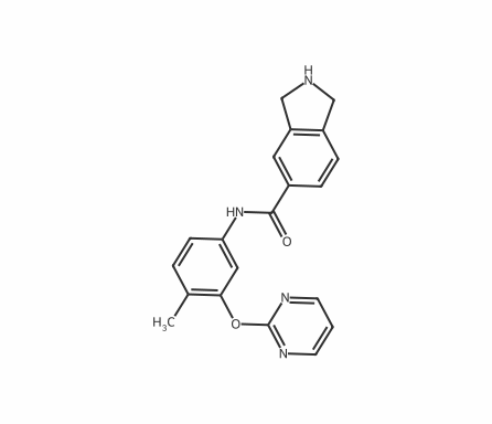 Cc1ccc(NC(=O)c2ccc3c(c2)CNC3)cc1Oc1ncccn1